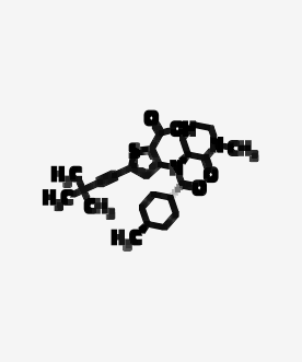 CN1CCC[C@H](N(c2cc(C#CC(C)(C)C)sc2C(=O)O)C(=O)[C@H]2CC[C@H](C)CC2)C1=O